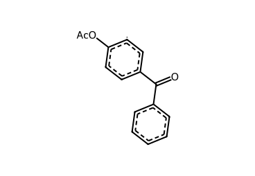 CC(=O)Oc1[c]cc(C(=O)c2ccccc2)cc1